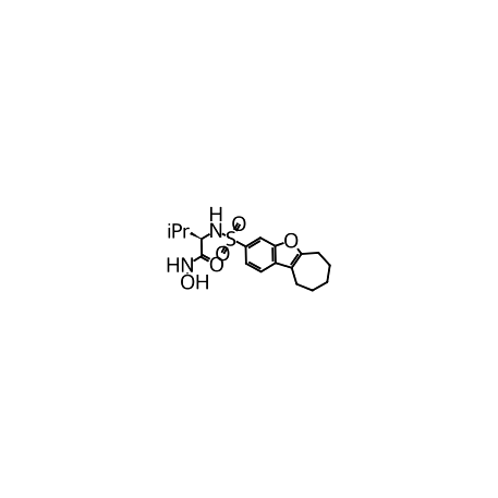 CC(C)[C@@H](NS(=O)(=O)c1ccc2c3c(oc2c1)CCCCC3)C(=O)NO